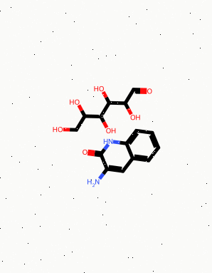 Nc1cc2ccccc2[nH]c1=O.O=CC(O)C(O)C(O)C(O)CO